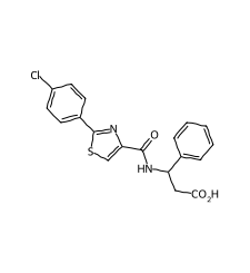 O=C(O)CC(NC(=O)c1csc(-c2ccc(Cl)cc2)n1)c1ccccc1